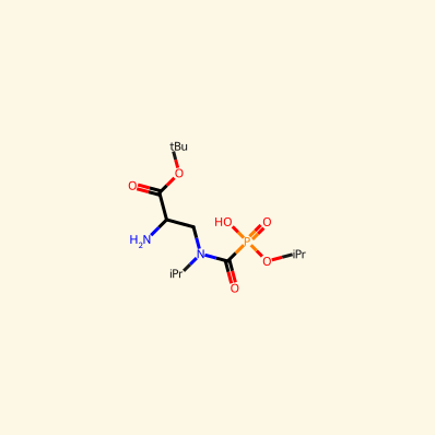 CC(C)OP(=O)(O)C(=O)N(CC(N)C(=O)OC(C)(C)C)C(C)C